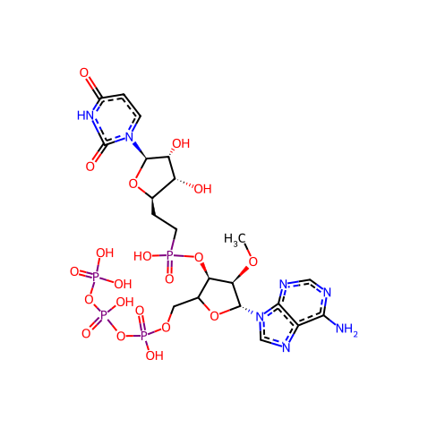 CO[C@@H]1[C@H](OP(=O)(O)CC[C@H]2O[C@@H](n3ccc(=O)[nH]c3=O)[C@H](O)[C@@H]2O)C(COP(=O)(O)OP(=O)(O)OP(=O)(O)O)O[C@H]1n1cnc2c(N)ncnc21